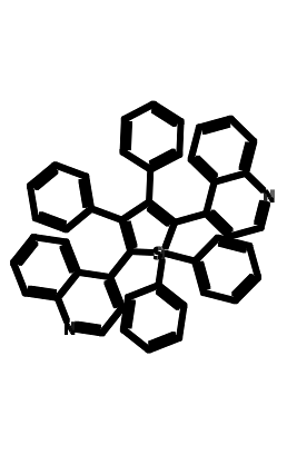 c1ccc(C2=C(c3ccnc4ccccc34)[Si](c3ccccc3)(c3ccccc3)C(c3ccnc4ccccc34)=C2c2ccccc2)cc1